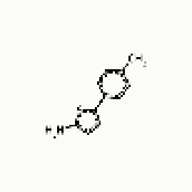 Cc1ccc(-c2ccc(N)s2)cc1